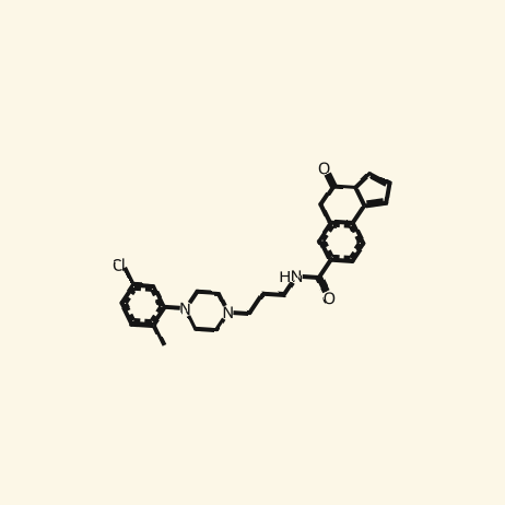 Cc1ccc(Cl)cc1N1CCN(CCCNC(=O)c2ccc3c(c2)CC(=O)C2C=CC=C32)CC1